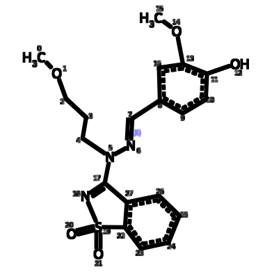 COCCCN(/N=C/c1ccc(O)c(OC)c1)C1=NS(=O)(=O)c2ccccc21